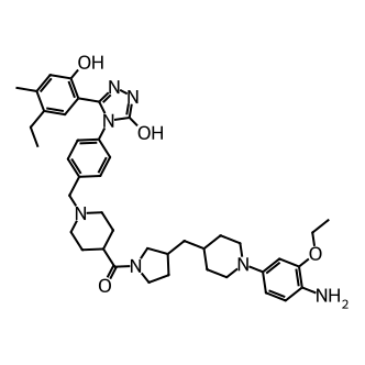 CCOc1cc(N2CCC(CC3CCN(C(=O)C4CCN(Cc5ccc(-n6c(O)nnc6-c6cc(CC)c(C)cc6O)cc5)CC4)C3)CC2)ccc1N